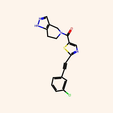 O=C(c1cnc(C#Cc2cccc(Cl)c2)s1)N1CCc2[nH]ncc2C1